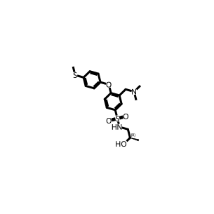 CSc1ccc(Oc2ccc(S(=O)(=O)NC[C@@H](C)O)cc2CN(C)C)cc1